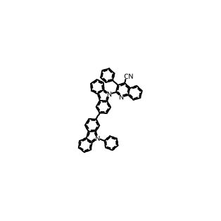 N#Cc1c(-c2ccccc2)c(-n2c3ccccc3c3cc(-c4ccc5c6ccccc6n(-c6ccccc6)c5c4)ccc32)nc2ccccc12